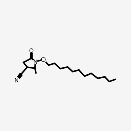 CCCCCCCCCCCCON1C(=O)CC(C#N)C1C